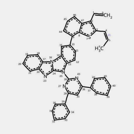 C=Cc1c(/C=C\C)sc2c(-c3ccc4c(c3)n3c5ccccc5nc3n4-c3nc(-c4ccccc4)cc(-c4ccccc4)n3)cccc12